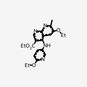 CCOC(=O)c1cnc2nc(C)c(OCC)cc2c1Nc1ccc(OCC)nc1